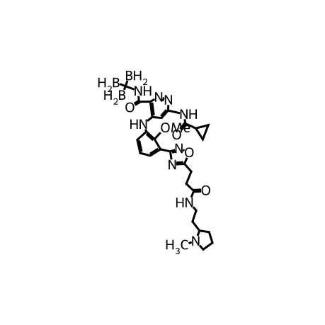 BC(B)(B)NC(=O)c1nnc(NC(=O)C2CC2)cc1Nc1cccc(-c2noc(CCC(=O)NCCC3CCCN3C)n2)c1OC